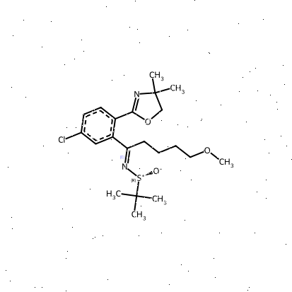 COCCCC/C(=N\[S@@+]([O-])C(C)(C)C)c1cc(Cl)ccc1C1=NC(C)(C)CO1